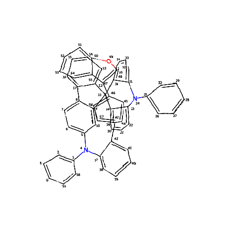 c1ccc(N(c2ccc3c(c2)C2(c4ccccc4-3)c3ccccc3N(c3ccccc3)c3ccccc32)c2ccccc2-c2ccc(-c3coc4ccccc34)cc2)cc1